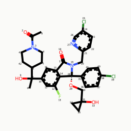 CC(=O)N1CCC(C(C)(O)c2cc(F)c3c(c2)C(=O)N(Cc2ccc(Cl)cn2)[C@@]3(OCC2(O)CC2)c2ccc(Cl)cc2)CC1